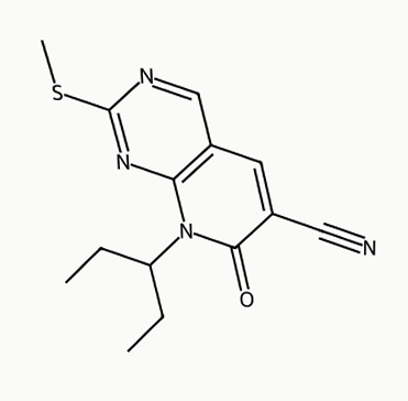 CCC(CC)n1c(=O)c(C#N)cc2cnc(SC)nc21